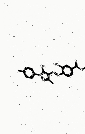 COC(=O)c1ccc(/N=N/c2c(C)nn(-c3ccc(C)cc3)c2O)c(O)c1